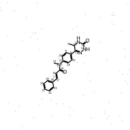 CC1NC(=O)NN=C1c1ccc(N(C)C(=O)/C=C/c2ccccc2)cc1